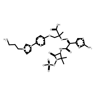 CC(COc1ccc(-n2cc[n+](CCCN)c2)nc1)(O/N=C(\C(=O)N[C@@H]1C(=O)N(OS(=O)(=O)[O-])C1(C)C)c1csc(N)n1)C(=O)O